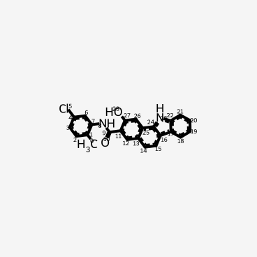 Cc1ccc(Cl)cc1NC(=O)c1cc2ccc3c4ccccc4[nH]c3c2cc1O